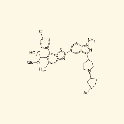 CC(=O)N1CC[C@H](N2CCC(c3nn(C)c4ccc(-c5nc6cc(C)c([C@H](OC(C)(C)C)C(=O)O)c(-c7ccc(Cl)cc7)c6s5)cc34)CC2)C1